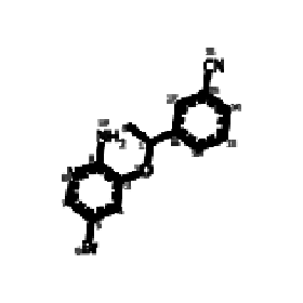 CC(Oc1cc(Br)cnc1N)c1cccc(C#N)c1